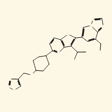 CC(C)c1c(-c2cc(CO)c3ncnn3c2)[nH]c2ccc(C3CCC(NCc4c[nH]nn4)CC3)nc12